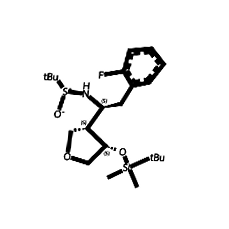 CC(C)(C)[S+]([O-])N[C@@H](Cc1ccccc1F)[C@H]1COC[C@H]1O[Si](C)(C)C(C)(C)C